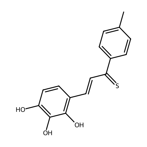 Cc1ccc(C(=S)C=Cc2ccc(O)c(O)c2O)cc1